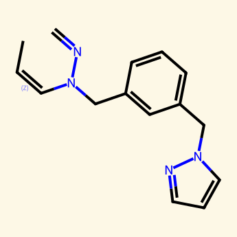 C=NN(/C=C\C)Cc1cccc(Cn2cccn2)c1